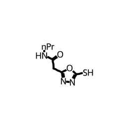 CCCNC(=O)Cc1nnc(S)o1